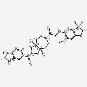 CC(C)c1cc2c(cc1OCC(=O)N1CC[C@@H]3CN(C(=O)c4ccc5[nH]nnc5c4)C[C@@H]3CC1)C(C)(C)CC2